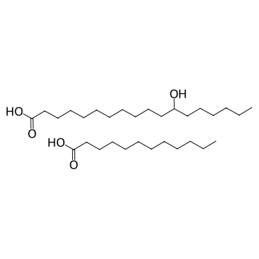 CCCCCCC(O)CCCCCCCCCCC(=O)O.CCCCCCCCCCCC(=O)O